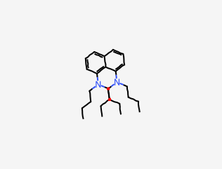 CCCCN(CCCC)c1cccc2cccc(N(CCCC)CCCC)c12